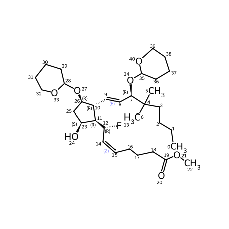 CCCCC(C)(C)[C@@H](/C=C/[C@@H]1[C@@H]([C@H](F)/C=C\CCCC(=O)OC)[C@@H](O)C[C@H]1OC1CCCCO1)OC1CCCCO1